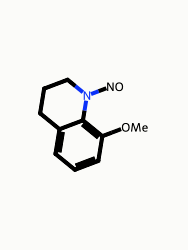 COc1cccc2c1N(N=O)CCC2